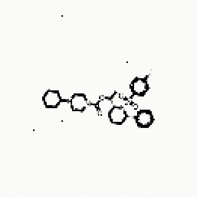 CC(OC(=O)N1CCN(C2CCCCC2)CC1)[C@H]1CCC[C@@H](c2ccccc2)N1S(=O)(=O)c1ccc(Cl)cc1